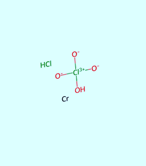 Cl.[Cr].[O-][Cl+3]([O-])([O-])O